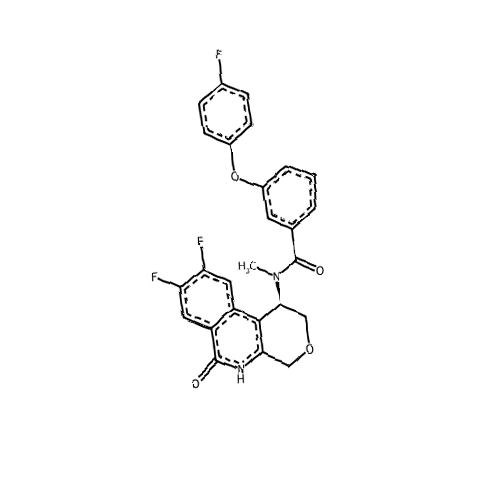 CN(C(=O)c1cccc(Oc2ccc(F)cc2)c1)[C@H]1COCc2[nH]c(=O)c3cc(F)c(F)cc3c21